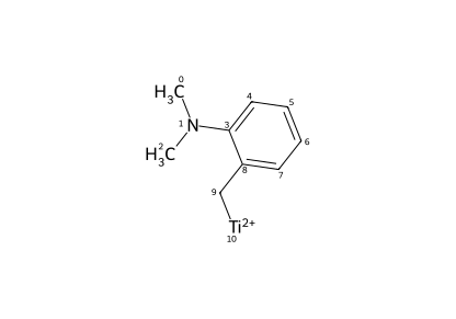 CN(C)c1ccccc1[CH2][Ti+2]